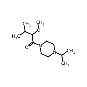 COC(C(=O)N1CCN(C(C)C)CC1)C(C)C